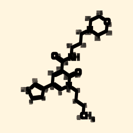 CCCCn1cc(-c2ccsc2)cc(C(=O)NCCCN2CCOCC2)c1=O